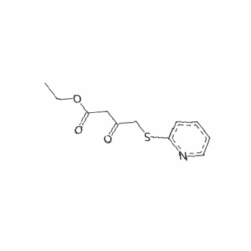 CCOC(=O)CC(=O)CSc1ccccn1